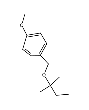 CCC(C)(C)OCc1ccc(OC)cc1